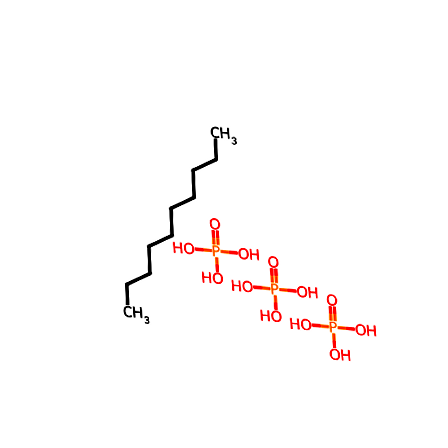 CCCCCCCCCC.O=P(O)(O)O.O=P(O)(O)O.O=P(O)(O)O